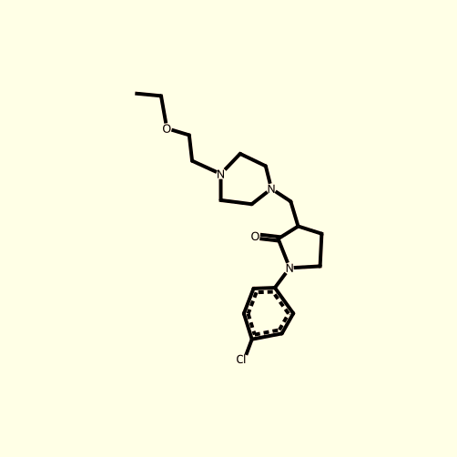 CCOCCN1CCN(CC2CCN(c3ccc(Cl)cc3)C2=O)CC1